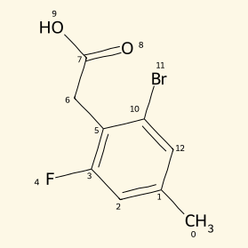 Cc1cc(F)c(CC(=O)O)c(Br)c1